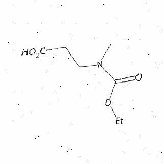 CCOC(=O)N(C)CCC(=O)O